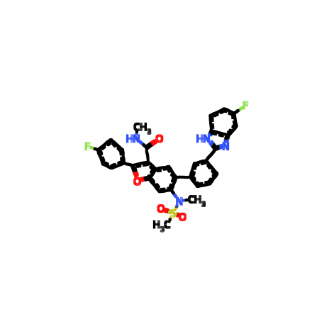 CNC(=O)c1c(-c2ccc(F)cc2)oc2cc(N(C)S(C)(=O)=O)c(-c3cccc(-c4nc5cc(F)ccc5[nH]4)c3)cc12